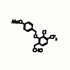 COc1ccc(COc2c(CC=O)ccc(C(F)(F)F)c2Cl)cc1